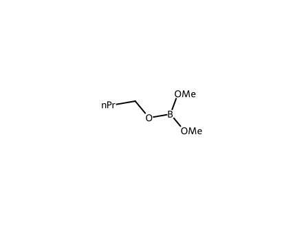 CCCCOB(OC)OC